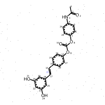 CC(=O)Nc1ccc(OC(=O)Oc2ccc(/C=C/c3cc(O)cc(O)c3)cc2)cc1